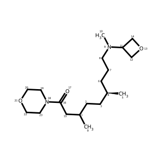 CC(CC[C@H](C)CCCN(C)C1COC1)CC(=O)N1CCOCC1